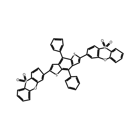 O=S1(=O)c2ccccc2Oc2cc(-c3cc4c(-c5ccccc5)c5sc(-c6ccc7c(c6)Oc6ccccc6S7(=O)=O)cc5c(-c5ccccc5)c4s3)ccc21